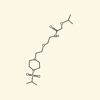 CC(C)OCC(=O)NCCOCCN1CCN(S(=O)(=O)C(C)C)CC1